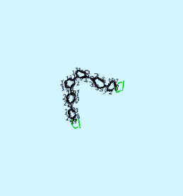 Clc1ccc(-c2ccc(-c3cccc(-c4cccc(-c5ccc(-c6ccc(Cl)cc6)cc5)c4)c3)cc2)cc1